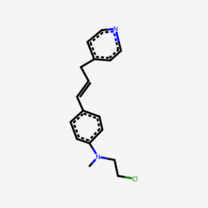 CN(CCCl)c1ccc(/C=C/Cc2ccncc2)cc1